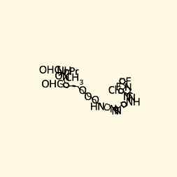 CCCC(C(=O)NC=O)N(C)Cc1cc(C#CCCOCCOCCOCCNC2CCC(n3cc(-c4ccc(Nc5ncc6c(n5)-c5ccc(Cl)cc5C(c5c(F)cccc5F)=NC6)cc4)nn3)CC2)ccc1C=O